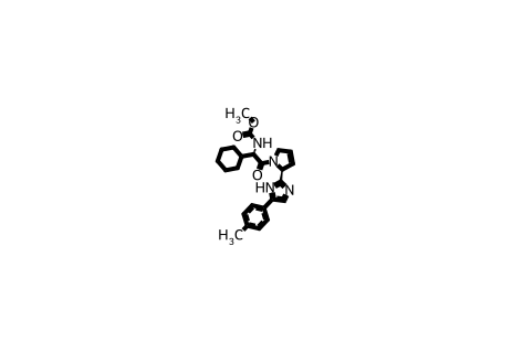 COC(=O)N[C@H](C(=O)N1CC=C[C@H]1c1ncc(-c2ccc(C)cc2)[nH]1)C1CCCCC1